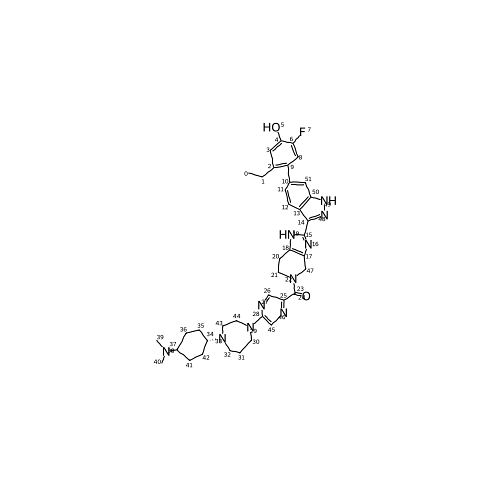 CCc1cc(O)c(F)cc1-c1ccc2c(-c3nc4c([nH]3)CCN(C(=O)c3cnc(N5CCCN([C@H]6CC[C@H](N(C)C)CC6)CC5)cn3)C4)n[nH]c2c1